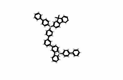 CC1(C)C2=C(CCC=C2)c2ccc(N(c3ccc(-c4ccccc4)cc3)c3ccc(-c4cccc(-c5ccc6c(c5)c5ccccc5n6-c5ccc(-c6ccccc6)cc5)c4)cc3)cc21